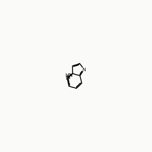 C1=CC2=NC=CC23NCN=NC3=C1